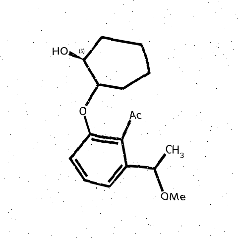 COC(C)c1cccc(OC2CCCC[C@@H]2O)c1C(C)=O